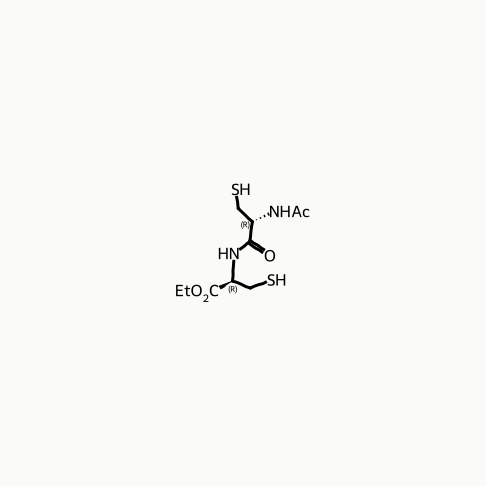 CCOC(=O)[C@H](CS)NC(=O)[C@H](CS)NC(C)=O